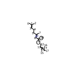 CC(C)=CCC/C(C)=C/C(=O)OCC[N+](C)(C)C